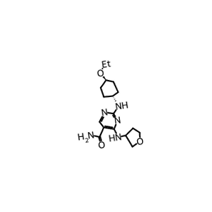 CCO[C@H]1CC[C@H](Nc2ncc(C(N)=O)c(NC3CCOC3)n2)CC1